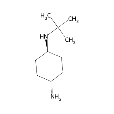 CC(C)(C)N[C@H]1CC[C@H](N)CC1